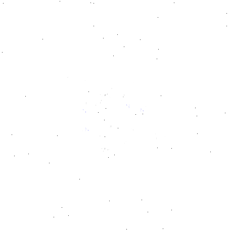 COC(=O)c1c(C)nn(C(=O)c2ccc(Cl)cc2)c1-c1snnc1C